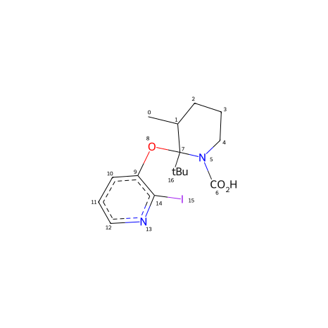 CC1CCCN(C(=O)O)C1(Oc1cccnc1I)C(C)(C)C